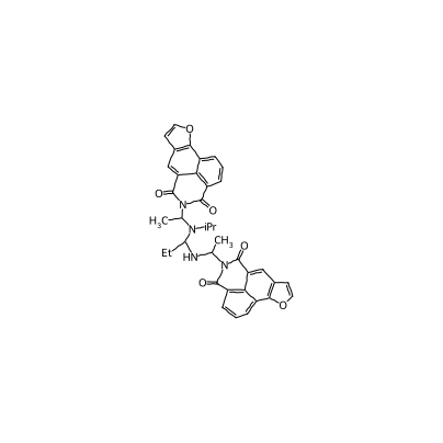 CCC(NC(C)N1C(=O)c2cccc3c2c(cc2ccoc23)C1=O)N(C(C)C)C(C)N1C(=O)c2cccc3c2c(cc2ccoc23)C1=O